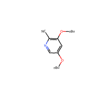 CCCCOc1cnc(C#N)c(OCCCC)c1